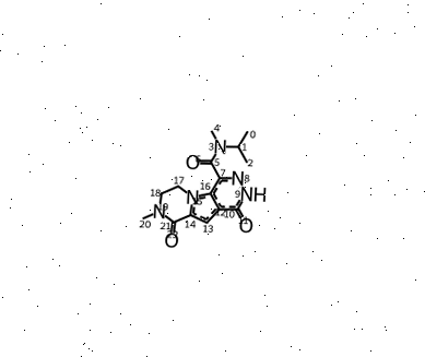 CC(C)N(C)C(=O)c1n[nH]c(=O)c2cc3n(c12)CCN(C)C3=O